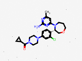 Cc1cc(N2CCCOC[C@@H]2c2ccc(N3CCN(C(=O)C4CC4)CC3)cc2Cl)nc(N)n1